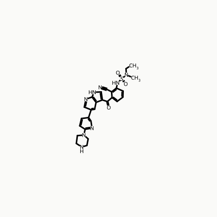 CCN(C)S(=O)(=O)Nc1cccc(C(=O)c2c[nH]c3ncc(-c4ccc(N5CCNCC5)nc4)cc23)c1C#N